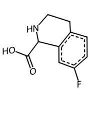 O=C(O)C1NCCc2ccc(F)cc21